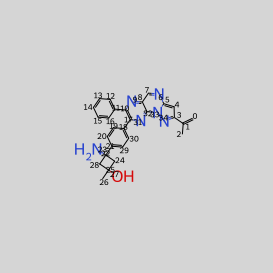 C=C(C)c1cc2ncc3nc(-c4ccccc4)c(-c4ccc(C5(N)CC(C)(O)C5)cc4)nc3n2n1